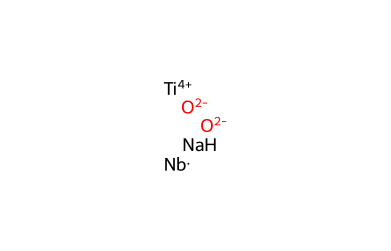 [NaH].[Nb].[O-2].[O-2].[Ti+4]